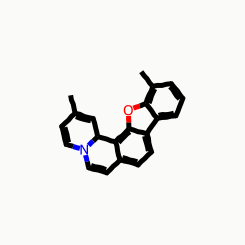 CC1=CC2c3c(ccc4c3oc3c(C)cccc34)C=CN2C=C1